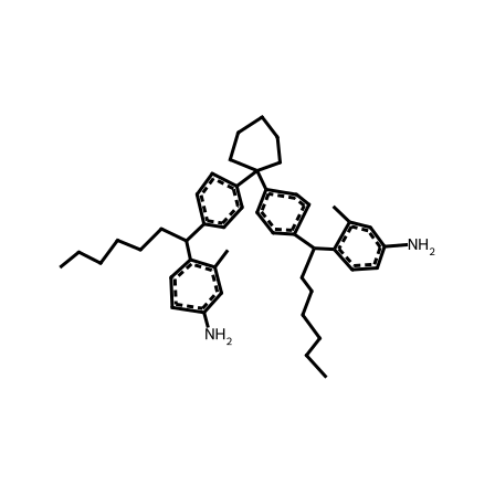 CCCCCCC(c1ccc(C2(c3ccc(C(CCCCCC)c4ccc(N)cc4C)cc3)CCCCC2)cc1)c1ccc(N)cc1C